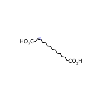 O=C(O)C/C=C\CCCCCCCCCCCC(=O)O